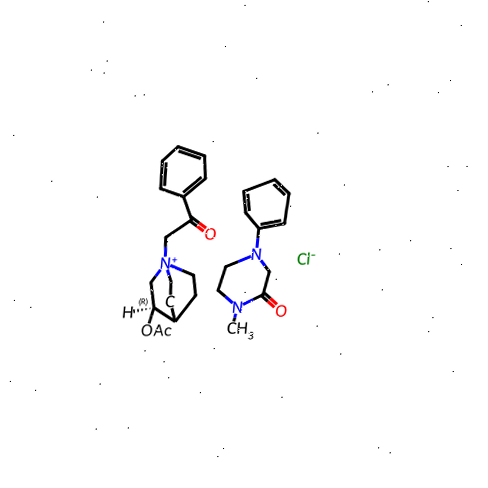 CC(=O)O[C@H]1C[N+]2(CC(=O)c3ccccc3)CCC1CC2.CN1CCN(c2ccccc2)CC1=O.[Cl-]